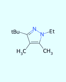 CCn1nc(C(C)(C)C)c(C)c1C